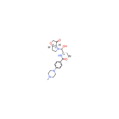 CC(C)C[C@H](NC(=O)c1ccc(N2CCN(C)CC2)cc1)C(O)N1CC[C@H]2OCC(=O)[C@H]21